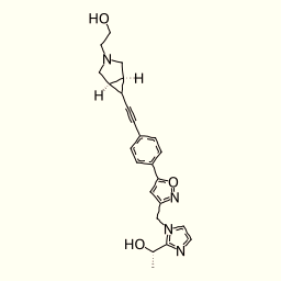 C[C@H](O)c1nccn1Cc1cc(-c2ccc(C#CC3[C@H]4CN(CCO)C[C@@H]34)cc2)on1